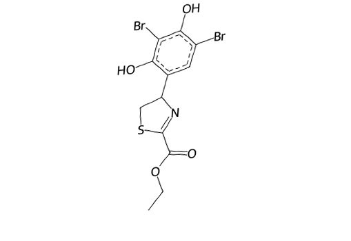 CCOC(=O)C1=NC(c2cc(Br)c(O)c(Br)c2O)CS1